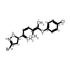 C=C(/C=C\C(C)=C(/C)Oc1ccc(Cl)cc1)[C@H]1CC(Br)=NO1